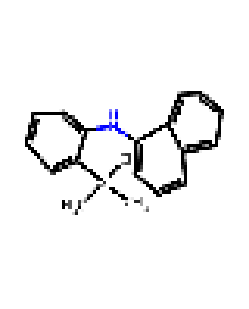 C[Si](C)(C)c1ccccc1Nc1cccc2ccccc12